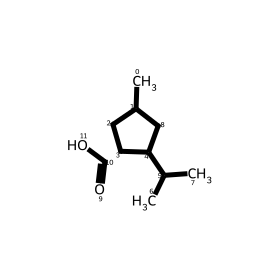 CC1CCC(C(C)C)C1.O=CO